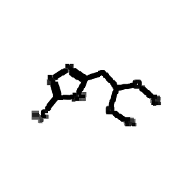 CCOC(Cc1nnc(C)[nH]1)OCC